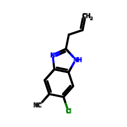 C=CCc1nc2cc(C#N)c(Cl)cc2[nH]1